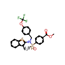 B[SH](=O)(c1ccc(C(=O)OC)cc1)N(Cc1ccc(OC(F)(F)F)cc1)c1sc2ccccc2c1C